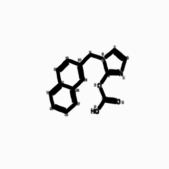 O=C(O)Oc1nccn1Cc1ccc2ccccc2c1